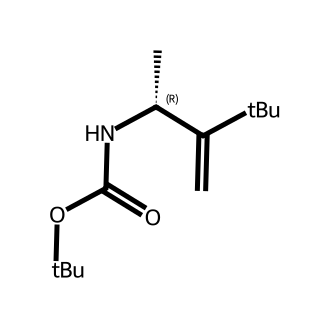 C=C([C@@H](C)NC(=O)OC(C)(C)C)C(C)(C)C